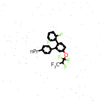 CCCc1ccc(-c2cc(OC(F)(F)C(F)C(F)(F)F)ccc2-c2c(F)cccc2F)cc1